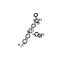 CN1CCN(C2CCN(C(=O)[C@@H](Cc3ccc4[nH]ncc4c3)OC(=O)N3CCC(n4nc(-c5ccccc5)[nH]c4=O)CC3)CC2)CC1